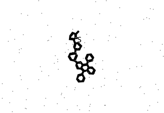 Cc1cccc2c1sc1ccc(-c3cccc(-c4ccc5c(-c6ccccc6)c6ccccc6c(-c6ccccc6)c5c4)c3)cc12